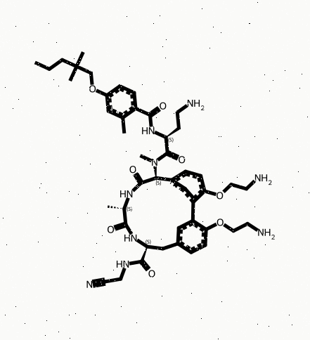 CCCC(C)(C)COc1ccc(C(=O)N[C@@H](CCN)C(=O)N(C)[C@@H]2C(=O)N[C@@H](C)C(=O)N[C@H](C(=O)NCC#N)Cc3ccc(OCCN)c(c3)-c3cc2ccc3OCCN)c(C)c1